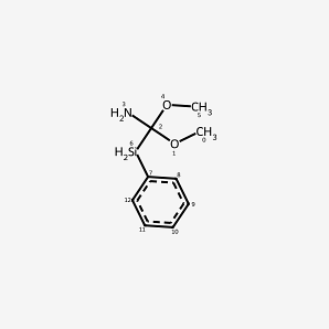 COC(N)(OC)[SiH2]c1ccccc1